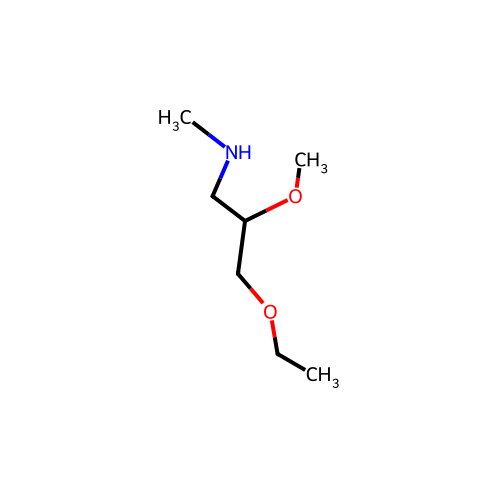 CCOCC(CNC)OC